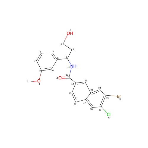 COc1cccc(C(CCO)NC(=O)c2ccc3cc(Cl)c(Br)cc3c2)c1